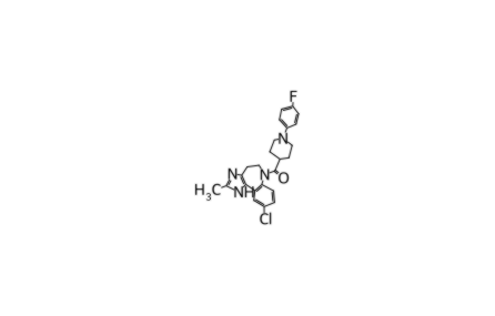 Cc1nc2c([nH]1)-c1cc(Cl)ccc1N(C(=O)C1CCN(c3ccc(F)cc3)CC1)CC2